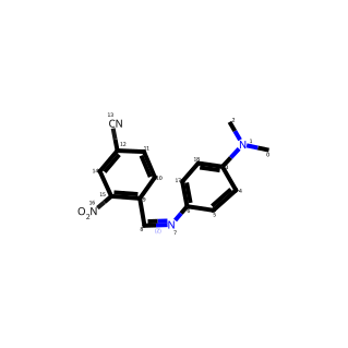 CN(C)c1ccc(/N=C\c2ccc(C#N)cc2[N+](=O)[O-])cc1